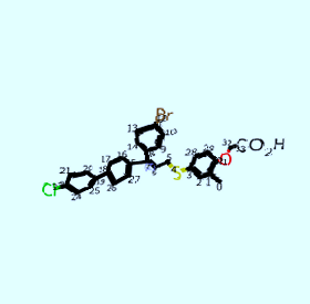 Cc1cc(SC/C=C(\c2ccc(Br)cc2)c2ccc(-c3ccc(Cl)cc3)cc2)ccc1OCC(=O)O